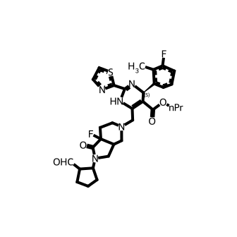 CCCOC(=O)C1=C(CN2CCC3(F)C(=O)N(C4CCCC4C=O)CC3C2)NC(c2nccs2)=N[C@H]1c1cccc(F)c1C